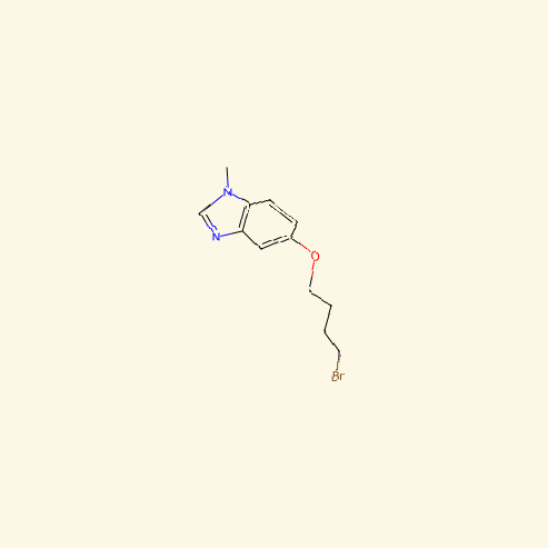 Cn1cnc2cc(OCCCCBr)ccc21